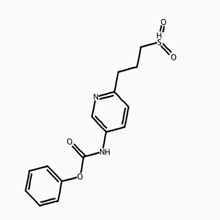 O=C(Nc1ccc(CCC[SH](=O)=O)nc1)Oc1ccccc1